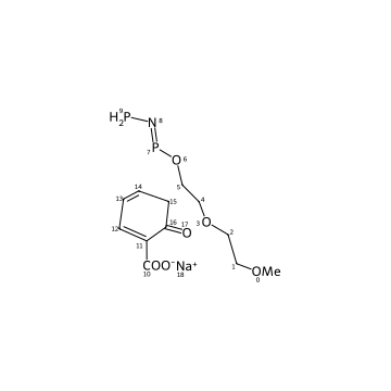 COCCOCCOP=NP.O=C([O-])C1=CC=CCC1=O.[Na+]